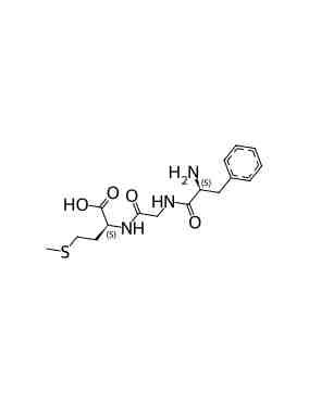 CSCC[C@H](NC(=O)CNC(=O)[C@@H](N)Cc1ccccc1)C(=O)O